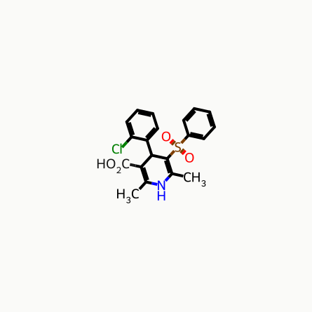 CC1=C(C(=O)O)C(c2ccccc2Cl)C(S(=O)(=O)c2ccccc2)=C(C)N1